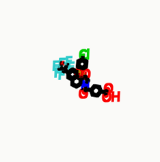 O=C(O)C1CCC(C(=O)N2CCC3(S(=O)(=O)c4ccc(Cl)cc4)c4ccc(C(F)(C(F)(F)F)C(F)(F)F)cc4CCC23)CC1